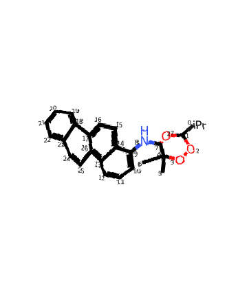 CC(C)C1OOC(C)(C)C(Nc2cccc3c2ccc2c4ccccc4ccc32)O1